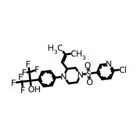 CC(C)=CC1CN(S(=O)(=O)c2ccc(Cl)nc2)CCN1c1ccc(C(O)(C(F)(F)F)C(F)(F)F)cc1